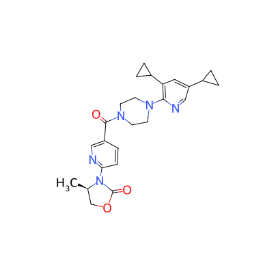 C[C@@H]1COC(=O)N1c1ccc(C(=O)N2CCN(c3ncc(C4CC4)cc3C3CC3)CC2)cn1